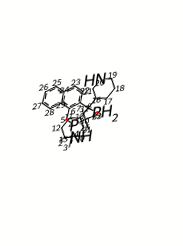 CC(C)(C)P(Cc1c(C(P)(C2CCCNC2)C2CCCNC2)ccc2ccccc12)C(C)(C)C